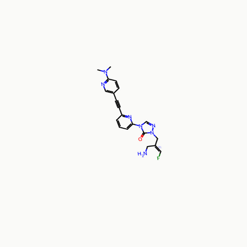 CN(C)c1ccc(C#Cc2cccc(-n3cnn(C/C(=C/F)CN)c3=O)n2)cn1